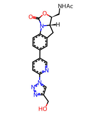 CC(=O)NC[C@@H]1OC(=O)N2c3ccc(-c4ccc(-n5cc(CO)nn5)nc4)cc3C[C@@H]12